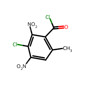 Cc1cc([N+](=O)[O-])c(Cl)c([N+](=O)[O-])c1C(=O)Cl